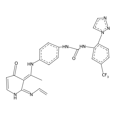 C=C/N=C1/NC=CC(=O)/C1=C(/C)Nc1ccc(NC(=O)Nc2cc(C(F)(F)F)ccc2-n2ccnn2)cc1